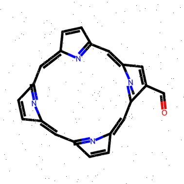 O=CC1=CC2=CC3=NC(=CC4=NC(=CC5=NC(=CC1=N2)C=C5)C=C4)C=C3